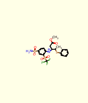 COC(=O)CC(Nc1ccc(S(N)(=O)=O)cc1S(=O)(=O)C(F)(F)F)C(C)Sc1ccccc1